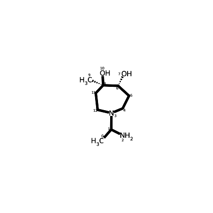 CC(N)N1CC[C@@H](O)[C@](C)(O)CC1